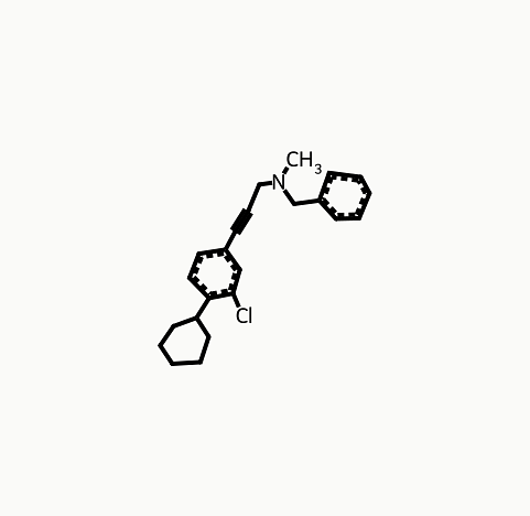 CN(CC#Cc1ccc(C2CCCCC2)c(Cl)c1)Cc1ccccc1